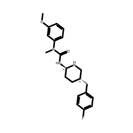 COc1cccc(N(C)C(=O)N[C@@H]2CC[C@@H](Cc3ccc(F)cc3)CN2)c1